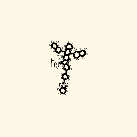 CC1(C)c2cc(-c3ccc(-c4nc5ccccc5o4)cc3)ccc2-c2cc3c(-c4ccc5ccccc5c4)c4ccccc4c(-c4ccc5ccccc5c4)c3cc21